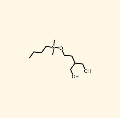 CCCC[Si](C)(C)OCCC(CO)CO